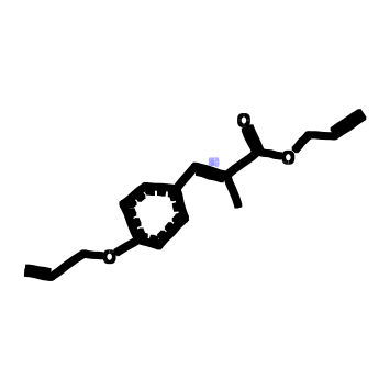 C=CCOC(=O)/C(C)=C/c1ccc(OCC=C)cc1